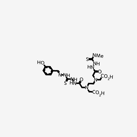 CNC(=S)NNC(=O)CN(CCN(CC(=O)O)CC(=O)NNC(=S)N/N=C/c1cccc(O)c1)CC(=O)O